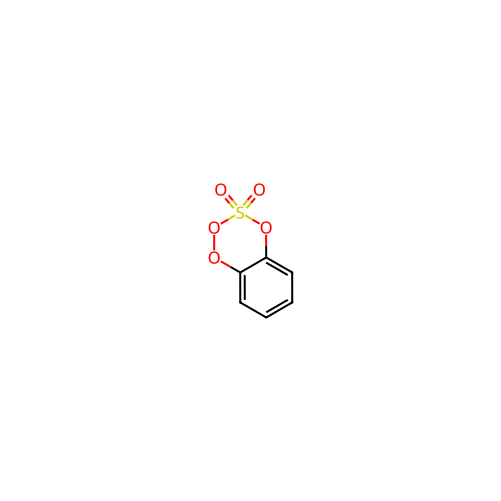 O=S1(=O)OOc2ccccc2O1